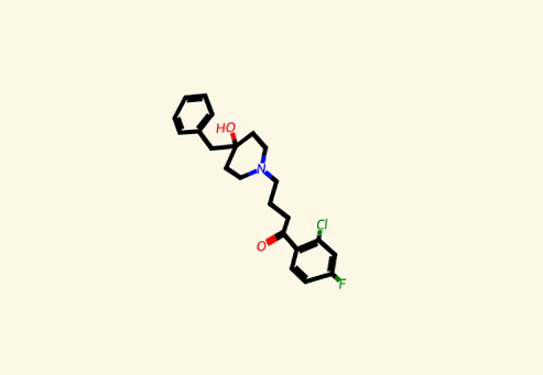 O=C(CCCN1CCC(O)(Cc2ccccc2)CC1)c1ccc(F)cc1Cl